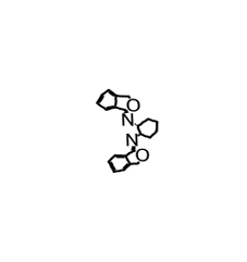 c1ccc2c(c1)CO/C2=N\[C@@H]1CCCC[C@H]1/N=C1\OCc2ccccc21